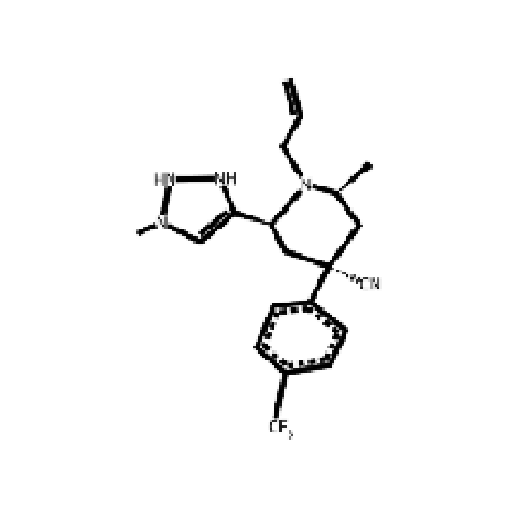 C=CCN1[C@@H](C)C[C@@](C#N)(c2ccc(C(F)(F)F)cc2)C[C@H]1C1=CN(C)NN1